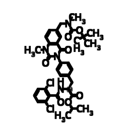 CC(C)OC(=O)[C@H](Cc1ccc(-n2c(=O)c3cc(CN(C)C(=O)OC(C)(C)C)ccc3n(C)c2=O)cc1)NC(=O)c1c(Cl)cccc1Cl